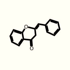 O=C1CC(=Cc2ccccc2)Oc2ccccc21